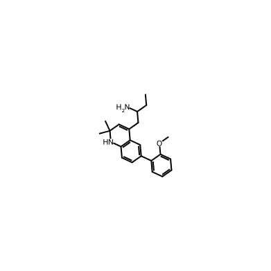 CCC(N)CC1=CC(C)(C)Nc2ccc(-c3ccccc3OC)cc21